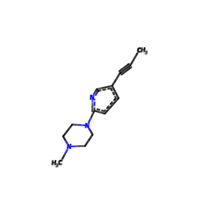 CC#Cc1ccc(N2CCN(C)CC2)nc1